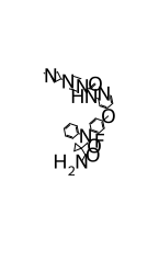 CN1CC(N2CCN(C(=O)Nc3cc(Oc4ccc(N(C(=O)C5(C(N)=O)CC5)c5ccccc5)c(F)c4)ccn3)CC2)C1